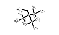 [CH2]C[Si]([Si](C)(C)C)([Si](C)(C)C)[Si](C)(C)C